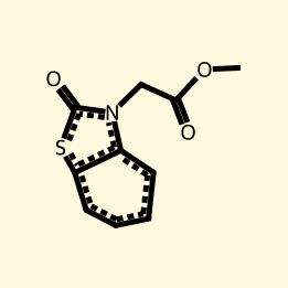 COC(=O)Cn1c(=O)sc2ccccc21